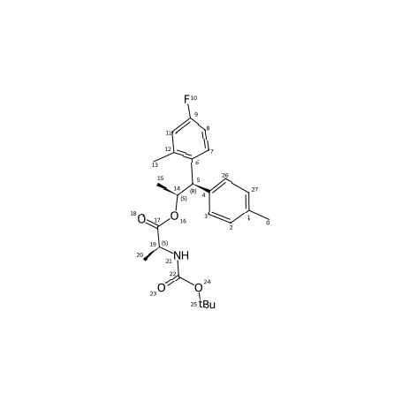 Cc1ccc([C@H](c2ccc(F)cc2C)[C@H](C)OC(=O)[C@H](C)NC(=O)OC(C)(C)C)cc1